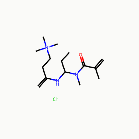 C=C(CC[N+](C)(C)C)NC(CC)N(C)C(=O)C(=C)C.[Cl-]